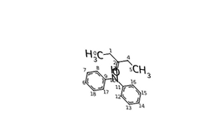 CCC(=O)CC.c1ccc(Nc2ccccc2)cc1